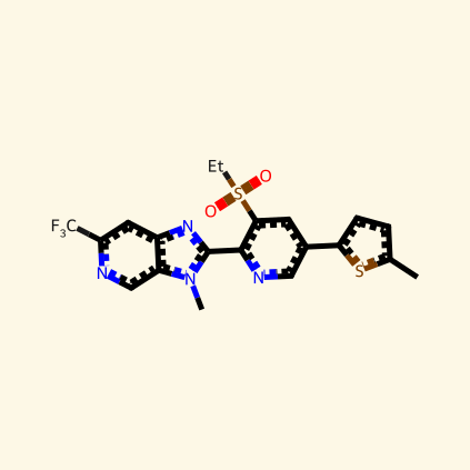 CCS(=O)(=O)c1cc(-c2ccc(C)s2)cnc1-c1nc2cc(C(F)(F)F)ncc2n1C